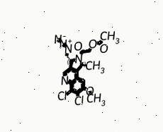 COc1cc2c3c(cnc2c(Cl)c1Cl)[C@H](CN=[N+]=[N-])N(C(=O)COC(C)=O)[C@H]3C